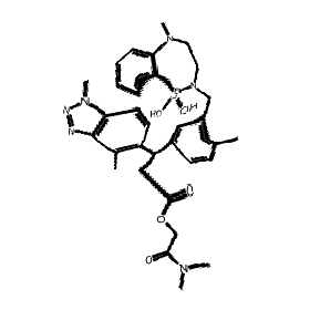 Cc1ccc(C(CC(=O)OCC(=O)N(C)C)c2ccc3c(nnn3C)c2C)cc1CN1CCN(C)c2ccccc2S1(O)O